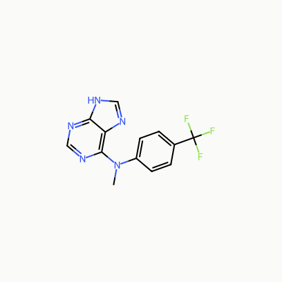 CN(c1ccc(C(F)(F)F)cc1)c1ncnc2[nH]cnc12